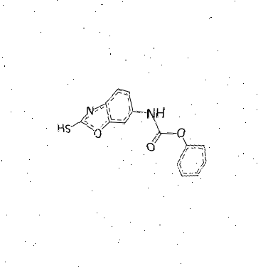 O=C(Nc1ccc2nc(S)oc2c1)Oc1ccccc1